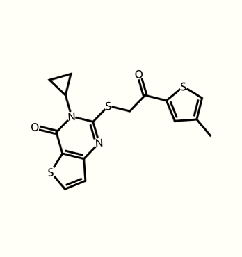 Cc1csc(C(=O)CSc2nc3ccsc3c(=O)n2C2CC2)c1